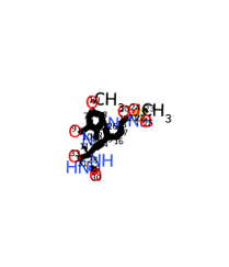 COc1ccc2c(c1)C(=O)N(C[C@@]1(C#Cc3ccc(C(=O)NS(C)(=O)=O)nc3)NC(=O)NC1=O)C2